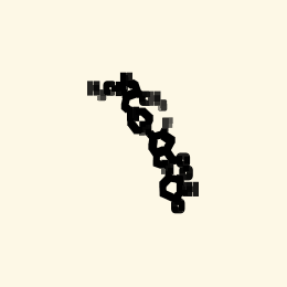 Cc1cnn(C)c1CN1CCN(c2cc3c(cc2F)C(=O)N(C2CCC(=O)NC2=O)C3)CC1